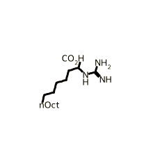 CCCCCCCCCCCCCC(NC(=N)N)C(=O)O